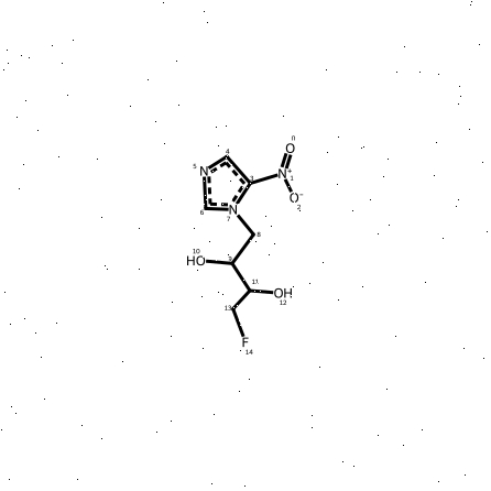 O=[N+]([O-])c1cncn1CC(O)C(O)CF